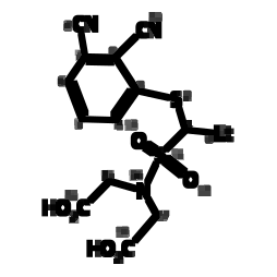 CCC(Sc1cccc(C#N)c1C#N)S(=O)(=O)N(CC(=O)O)CC(=O)O